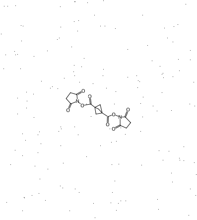 O=C1CCC(=O)N1OC(=O)C12CC(C(=O)ON3C(=O)CCC3=O)(C1)C2